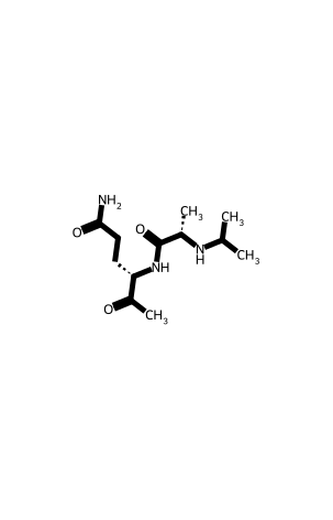 CC(=O)[C@H](CCC(N)=O)NC(=O)[C@H](C)NC(C)C